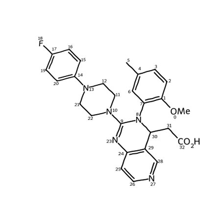 COc1ccc(C)cc1N1C(N2CCN(c3ccc(F)cc3)CC2)=Nc2ccncc2C1CC(=O)O